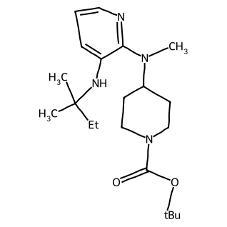 CCC(C)(C)Nc1cccnc1N(C)C1CCN(C(=O)OC(C)(C)C)CC1